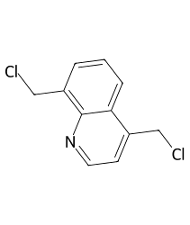 ClCc1ccnc2c(CCl)cccc12